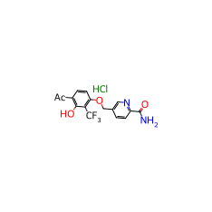 CC(=O)c1ccc(OCc2ccc(C(N)=O)nc2)c(C(F)(F)F)c1O.Cl